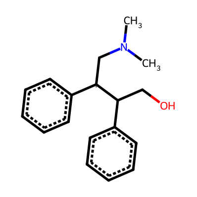 CN(C)C[C](c1ccccc1)C(CO)c1ccccc1